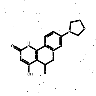 CC1Cc2cc(N3CCCC3)ccc2-c2[nH]c(=O)cc(O)c21